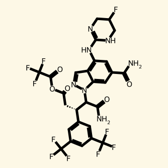 NC(=O)c1cc(NC2=NCC(F)CN2)c2cnn(C(C(N)=O)[C@@H](CC(=O)OC(=O)C(F)(F)F)c3cc(C(F)(F)F)cc(C(F)(F)F)c3)c2c1